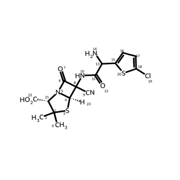 CC1(C)S[C@H]2N(C(=O)C2(C#N)NC(=O)C(N)c2ccc(Cl)s2)[C@H]1C(=O)O